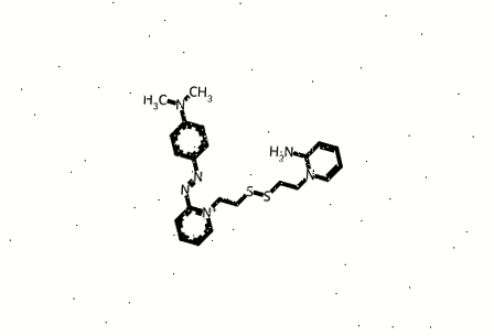 CN(C)c1ccc(/N=N/c2cccc[n+]2CCSSCCN2C=CC=CC2N)cc1